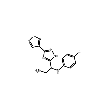 NCC(Nc1ccc(Cl)cc1)c1nc(-c2cnsn2)n[nH]1